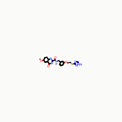 COC1=CCC2=NC(C(=O)NCc3cccc(OCCSc4nc[nH]n4)c3)=NC(=O)C2=C1